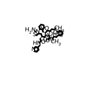 CC(C)C[C@H](O)[C@H](O)[C@H](CC1CCCCC1)N(CC(=O)N(C)CCc1ccccn1)C(=O)[C@@H](CC(=O)NCc1cccnc1)Cc1csc(N)n1